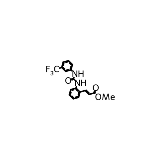 COC(=O)/C=C/c1ccccc1NC(=O)Nc1cccc(C(F)(F)F)c1